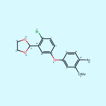 COc1cc(Oc2ccc(Br)c(C3OCCO3)c2)ccc1C(C)=O